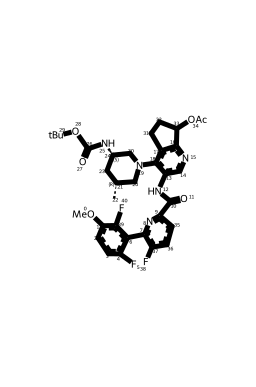 COc1ccc(F)c(-c2nc(C(=O)Nc3cnc4c(c3N3C[C@H](C)C[C@H](NC(=O)OC(C)(C)C)C3)CCC4OC(C)=O)ccc2F)c1F